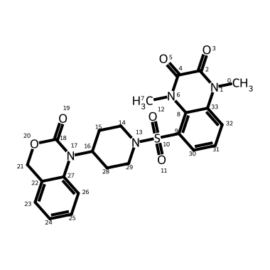 Cn1c(=O)c(=O)n(C)c2c(S(=O)(=O)N3CCC(N4C(=O)OCc5ccccc54)CC3)cccc21